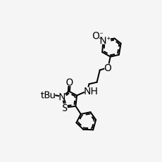 CC(C)(C)n1sc(-c2ccccc2)c(NCCCOc2ccc[n+]([O-])c2)c1=O